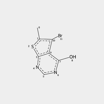 Cc1sc2ncnc(O)c2c1Br